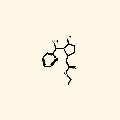 CCOC(=O)CC1CCC(O)C1C(O)c1ccccc1